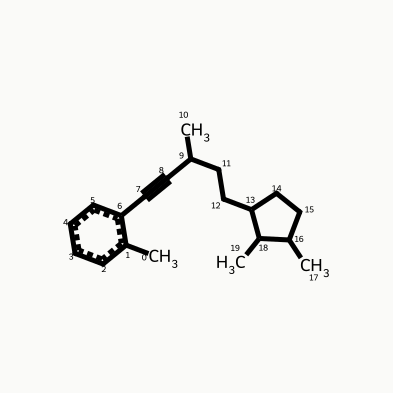 Cc1ccccc1C#CC(C)CCC1CCC(C)C1C